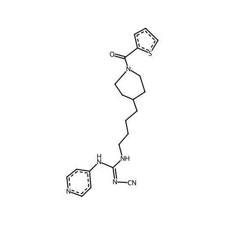 N#C/N=C(\NCCCCC1CCN(C(=O)c2cccs2)CC1)Nc1ccncc1